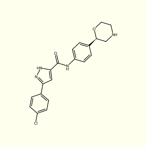 O=C(Nc1ccc([C@@H]2CNCCO2)cc1)c1cc(-c2ccc(Cl)cc2)n[nH]1